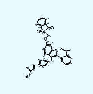 CC(C)c1ccccc1-c1sc2cc(OCN3C(=O)c4ccccc4S3(=O)=O)ccc2c1Oc1ccc(/C=C/C(=O)O)cc1